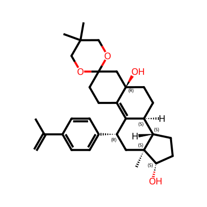 C=C(C)c1ccc([C@H]2C[C@]3(C)[C@@H](O)CC[C@H]3[C@@H]3CC[C@@]4(O)CC5(CCC4=C32)OCC(C)(C)CO5)cc1